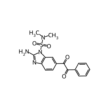 CN(C)S(=O)(=O)n1c(N)nc2ccc(C(=O)C(=O)c3ccccc3)cc21